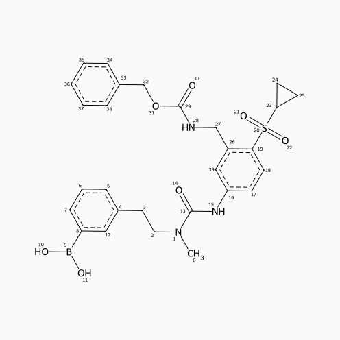 CN(CCc1cccc(B(O)O)c1)C(=O)Nc1ccc(S(=O)(=O)C2CC2)c(CNC(=O)OCc2ccccc2)c1